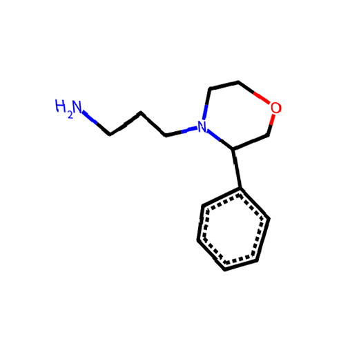 NCCCN1CCOCC1c1ccccc1